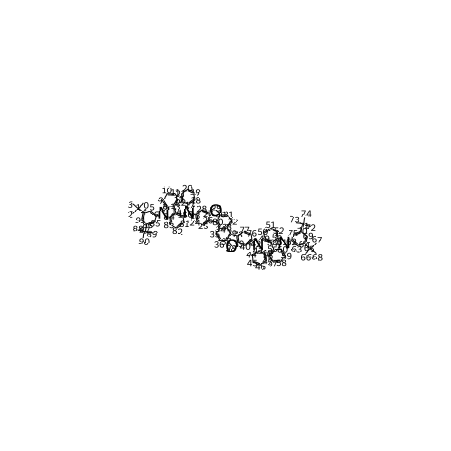 CC(C)(C)c1cc(-n2c3ccccc3c3c(N(c4ccccc4)c4ccc5c(c4)oc4ccc6c(ccc7oc8cc(N(c9ccccc9)c9cccc%10c9c9ccccc9n%10-c9cc(C(C)(C)C)cc(C(C)(C)C)c9)ccc8c76)c45)cccc32)cc(C(C)(C)C)c1